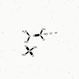 Cl.NOO.O=S(=O)(O)O.O=[N+]([O-])O.[Cl-].[H+]